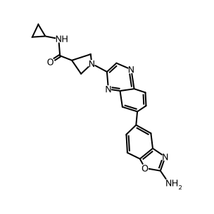 Nc1nc2cc(-c3ccc4ncc(N5CC(C(=O)NC6CC6)C5)nc4c3)ccc2o1